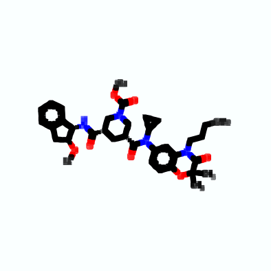 CCO[C@H]1Cc2ccccc2[C@@H]1NC(=O)[C@H]1C[C@@H](C(=O)N(c2ccc3c(c2)N(CCCOC)C(=O)C(C)(C)O3)C2CC2)CN(C(=O)OC(C)(C)C)C1